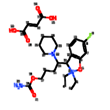 CC[N+]1(CC)Oc2cc(F)ccc2C1C(CCCOC(N)=O)N1CCCCC1.O=C(O)/C=C/C(=O)O